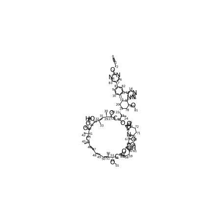 C#CCOc1ncc(-c2cccc(-c3cnnn3[C@H]3CC[C@@H](C[C@@H](C)[C@@H]4CC(=O)[C@H](C)/C=C(\C)[C@@H](O)[C@@H](OC)C(=O)[C@H](C)C[C@H](C)/C=C/C=C/C=C(\C)[C@@H](OC)C[C@@H]5CC[C@@H](C)[C@@](O)(O5)C(=O)C(=O)N5CCCC[C@H]5C(=O)O4)C[C@H]3OC)c2)cn1